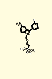 C[Si](C)(C)CCOCn1nc(-c2ccnc(F)c2)c2cc(N)ccc21